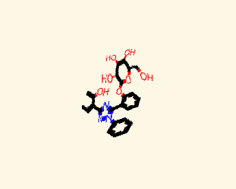 C=C(O)/C(=C\C)c1nc(-c2ccccc2OC2O[C@H](CO)[C@H](O)[C@H](O)[C@H]2O)n(-c2ccccc2)n1